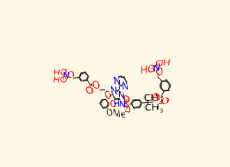 COc1ccccc1Oc1c(NS(=O)(=O)c2ccc(C(C)(C)COC(=O)c3cccc(CON(O)O)c3)cc2)nc(-c2ncccn2)nc1OCCOC(=O)c1cccc(CON(O)O)c1